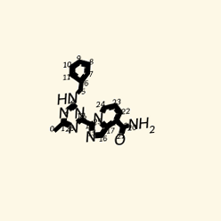 Cc1nc(NCc2ccccc2)nc(-c2ncc3c(C(N)=O)cccn23)n1